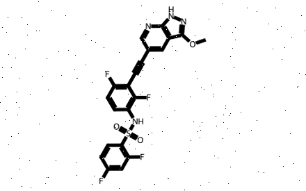 COc1n[nH]c2ncc(C#Cc3c(F)ccc(NS(=O)(=O)c4ccc(F)cc4F)c3F)cc12